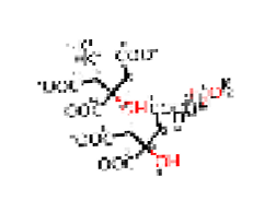 O.O=C([O-])CC(O)(CC(=O)[O-])C(=O)[O-].O=C([O-])CC(O)(CC(=O)[O-])C(=O)[O-].[K+].[K+].[K+].[Li+].[Li+].[Li+]